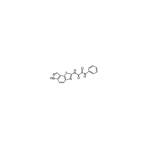 O=C(Nc1ccccc1)C(=O)Nc1nc2ccc3[nH]ncc3c2s1